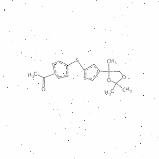 CC(=O)c1ccc(Sc2cc(C3(C)COC(C)(C)O3)cs2)cc1